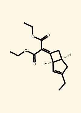 CCOC(=O)C(C(=O)OCC)=C1C[C@H]2CC(CC)=C[C@@H]12